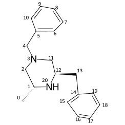 C[C@@H]1CN(Cc2ccccc2)C[C@@H](Cc2ccccc2)N1